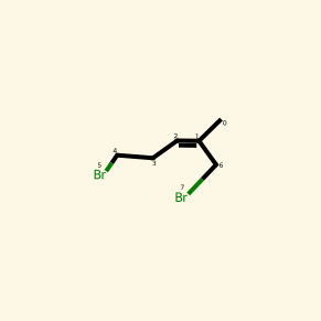 CC(=CCCBr)CBr